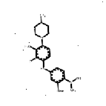 CNc1cc(Nc2ccc(N3CCC(C)CC3)c(C)c2F)ccc1N(C)N=O